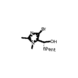 CCCCC[C@@H](O)c1c(Br)nc(C)n1C